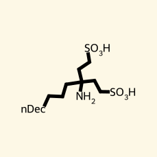 CCCCCCCCCCCCCC(N)(CCS(=O)(=O)O)CCS(=O)(=O)O